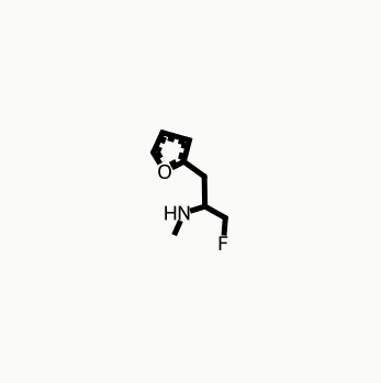 CNC(CF)Cc1ccco1